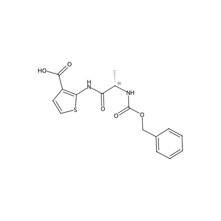 C[C@H](NC(=O)OCc1ccccc1)C(=O)Nc1sccc1C(=O)O